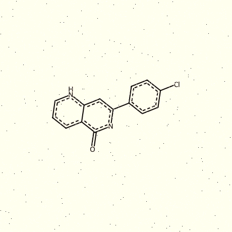 O=c1nc(-c2ccc(Cl)cc2)cc2[nH]cccc1-2